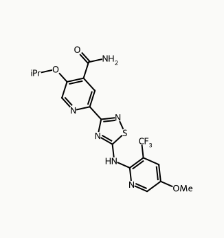 COc1cnc(Nc2nc(-c3cc(C(N)=O)c(OC(C)C)cn3)ns2)c(C(F)(F)F)c1